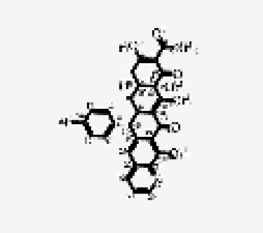 NC(=O)C1=C(O)C[C@@H]2CC3C(=C(O)[C@]2(O)C1=O)C(=O)c1c(cc2cccnc2c1O)[C@@H]3c1ccc(F)cc1